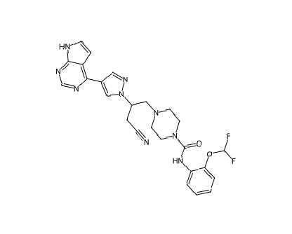 N#CCC(CN1CCN(C(=O)Nc2ccccc2OC(F)F)CC1)n1cc(-c2ncnc3[nH]ccc23)cn1